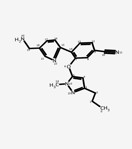 CCCc1cc(Oc2cc(C#N)ccc2-c2ccc(CN)cn2)n(C)n1